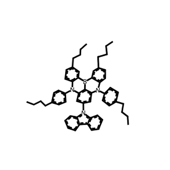 CCCCc1ccc(N2c3ccc(CCCC)cc3B3c4cc(CCCC)ccc4N(c4ccc(CCCC)cc4)c4cc(-n5c6ccccc6c6ccccc65)cc2c43)cc1